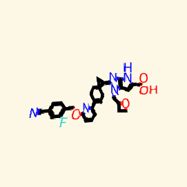 N#Cc1ccc(COc2cccc(C3=CCC4(CC3)CC4c3nc4[nH]c(C(=O)O)cc4n3CC3CCO3)n2)c(F)c1